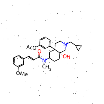 COc1cccc(C=CC(=O)N(C)[C@@H]2CC[C@]3(O)CN(CC4CC4)CC[C@@]3(c3cccc(OC(C)=O)c3)C2)c1